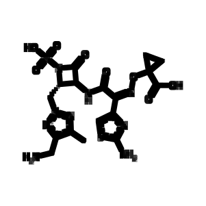 Cc1nn(C[C@H]2C(NC(=O)/C(=N\OC3(C(=O)O)CC3)c3csc(N)n3)C(=O)N2S(=O)(=O)O)nc1CN